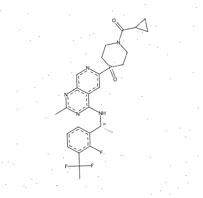 Cc1nc(N[C@H](C)c2cccc(C(C)(F)F)c2F)c2cc(P3(=O)CCN(C(=O)C4CC4)CC3)ncc2n1